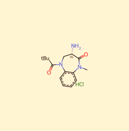 CN1C(=O)[C@@H](N)CN(C(=O)C(C)(C)C)c2ccccc21.Cl